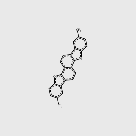 FC(F)(F)c1ccc2oc3c(ccc4c3ccc3c5cc(C(F)(F)F)ccc5sc34)c2c1